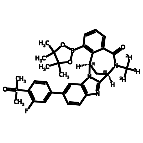 [2H]C([2H])([2H])N1C(=O)c2cccc(B3OC(C)(C)C(C)(C)O3)c2[C@H]2C[C@@H]1c1nc3ccc(-c4ccc(P(C)(C)=O)c(F)c4)cc3n12